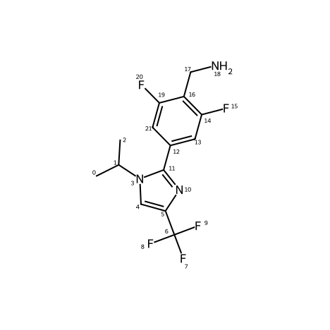 CC(C)n1cc(C(F)(F)F)nc1-c1cc(F)c(CN)c(F)c1